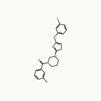 O=C(c1cccc(F)c1)N1CCC[C@H](c2nc(Oc3cccc(F)c3)no2)C1